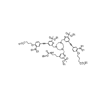 CCOC(=O)CCCOc1ccc(C#Cc2cc(CN3CCN(Cc4cc(C#Cc5ccc(OCCCC(=O)OCC)c(N(CC)CC)c5)cc(P(C)(=O)OCC)n4)CCN(Cc4cc(CCCNC(=O)OC(C)(C)C)cc(P(C)(=O)OCC)n4)CC3)nc(P(C)(=O)OCC)c2)cc1N(CC)CC